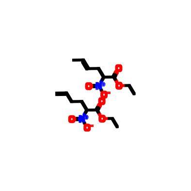 C=CCCC(C(=O)OCC)[N+](=O)[O-].CC=CCC(C(=O)OCC)[N+](=O)[O-]